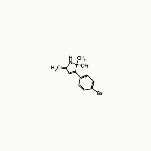 C=C1C=C(c2ccc(Br)cc2)C(C)(O)N1